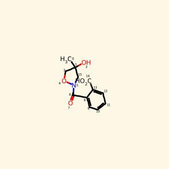 CC1(O)CON(C(=O)c2ccccc2C(=O)O)C1